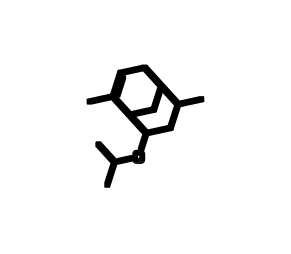 CC1=CCC2CC1C(OC(C)C)CC2C